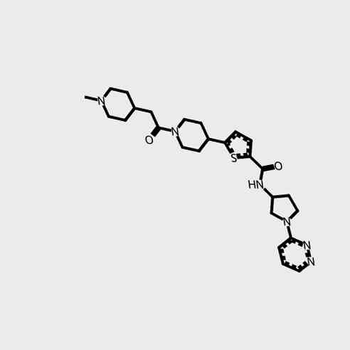 CN1CCC(CC(=O)N2CCC(c3ccc(C(=O)NC4CCN(c5cccnn5)C4)s3)CC2)CC1